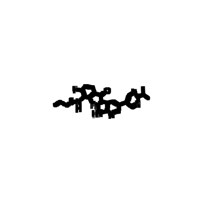 CCCSNc1c(F)ccc(C(=O)c2n[nH]c3ncc(-c4cnc(C(C)C)nc4)cc23)c1F